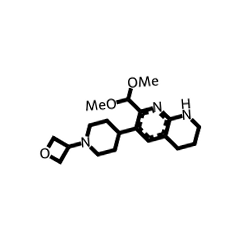 COC(OC)c1nc2c(cc1C1CCN(C3COC3)CC1)CCCN2